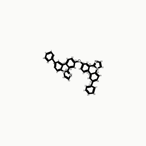 c1ccc(-c2ccc3c(c2)c2ccc(Oc4ccc5c6cc(-c7ccccc7)ccc6n6ccnc6c5c4)cc2c2nccn32)cc1